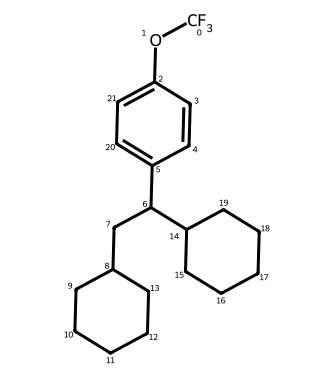 FC(F)(F)Oc1ccc(C(CC2CCCCC2)C2CCCCC2)cc1